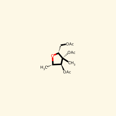 CC(=O)OC[C@H]1O[C@@H](C)[C@H](OC(C)=O)[C@@]1(C)OC(C)=O